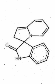 O=C1Nc2ccccc2C12CC=C1C=CC=CN12